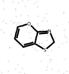 C1=COC2=NCSC2=C1